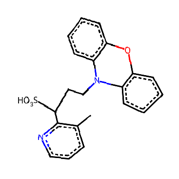 Cc1cccnc1C(CCN1c2ccccc2Oc2ccccc21)S(=O)(=O)O